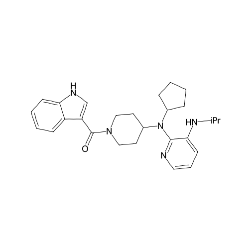 CC(C)Nc1cccnc1N(C1CCCC1)C1CCN(C(=O)c2c[nH]c3ccccc23)CC1